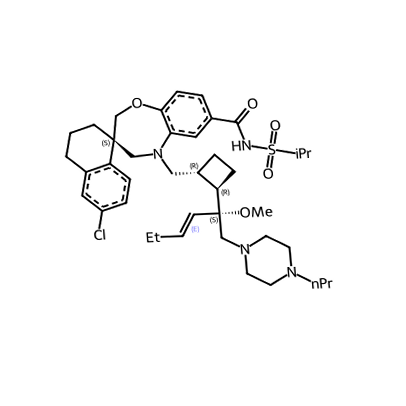 CC/C=C/[C@@](CN1CCN(CCC)CC1)(OC)[C@@H]1CC[C@H]1CN1C[C@@]2(CCCc3cc(Cl)ccc32)COc2ccc(C(=O)NS(=O)(=O)C(C)C)cc21